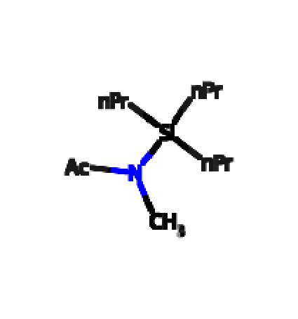 CCC[Si](CCC)(CCC)N(C)C(C)=O